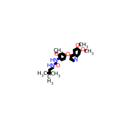 COc1cc(Oc2ccnc3cc(OC)c(OC)cc23)ccc1NC(=O)NCCC(C)(C)C